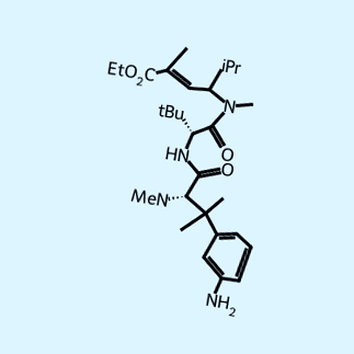 CCOC(=O)/C(C)=C/C(C(C)C)N(C)C(=O)[C@H](NC(=O)[C@@H](NC)C(C)(C)c1cccc(N)c1)C(C)(C)C